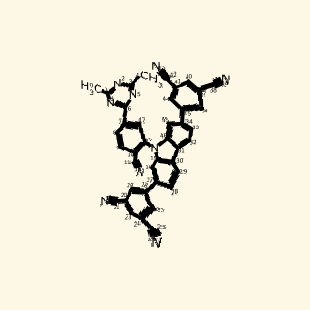 Cc1nc(C)nc(-c2ccc(C#N)c(-n3c4cc(-c5cc(C#N)cc(C#N)c5)ccc4c4ccc(-c5cc(C#N)cc(C#N)c5)cc43)c2)n1